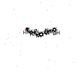 O=C(Nc1nc2ccc(-c3cnc(CO[C@H]4CCC[C@@H]4O)nc3)cc2s1)C1CC(NC23CC(C2)C3)C1